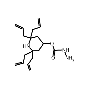 C=CCC1(CC=C)CC(OC(=O)NN)CC(CC=C)(CC=C)N1